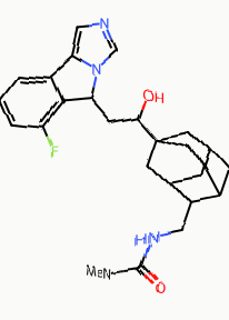 CNC(=O)NCC1C2CC3CC1CC(C(O)CC1c4c(F)cccc4-c4cncn41)(C3)C2